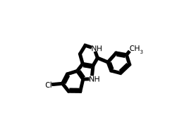 Cc1cccc(C2NCCc3c2[nH]c2ccc(Cl)cc32)c1